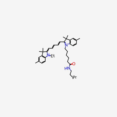 CCN1\C(=C/C=C/C=C/C2=[N+](CCCCCC(=O)NCCC(C)C)c3ccc(C)cc3C2(C)C)C(C)(C)c2cc(C)ccc21